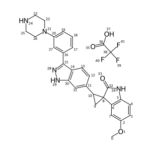 COc1ccc2c(c1)C1(CC1c1ccc3c(-c4cccc(N5CCNCC5)c4)n[nH]c3c1)C(=O)N2.O=C(O)C(F)(F)F